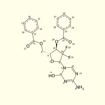 NC1=NC(O)N(C2O[C@H](COC(=O)c3ccccc3)[C@@H](OC(=O)c3ccccc3)C2(F)F)C=N1